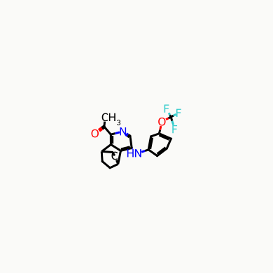 CC(=O)c1ncc(Nc2cccc(OC(F)(F)F)c2)c2c1C1CCC2CC1